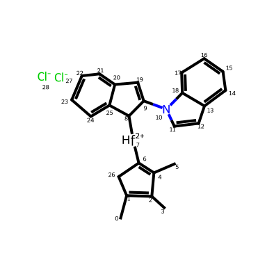 CC1=C(C)C(C)=[C]([Hf+2][CH]2C(n3ccc4ccccc43)=Cc3ccccc32)C1.[Cl-].[Cl-]